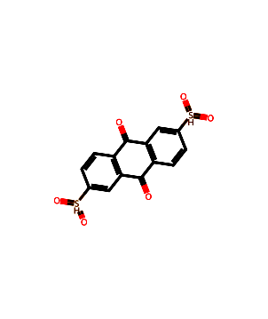 O=C1c2ccc([SH](=O)=O)cc2C(=O)c2ccc([SH](=O)=O)cc21